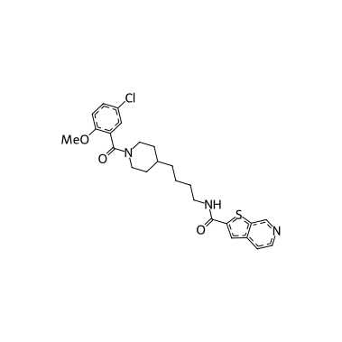 COc1ccc(Cl)cc1C(=O)N1CCC(CCCCNC(=O)c2cc3ccncc3s2)CC1